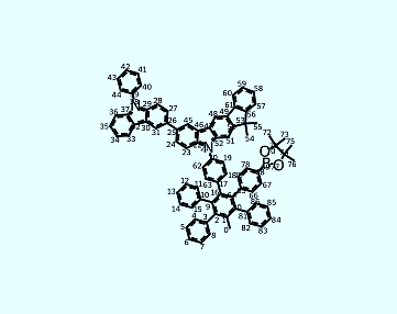 Cc1c(-c2ccccc2)c(-c2ccccc2)c(-c2ccc(-n3c4ccc(-c5ccc6c(c5)c5ccccc5n6-c5ccccc5)cc4c4cc5c(cc43)C(C)(C)c3ccccc3-5)cc2)c(-c2ccc(B3OC(C)(C)C(C)(C)O3)cc2)c1-c1ccccc1